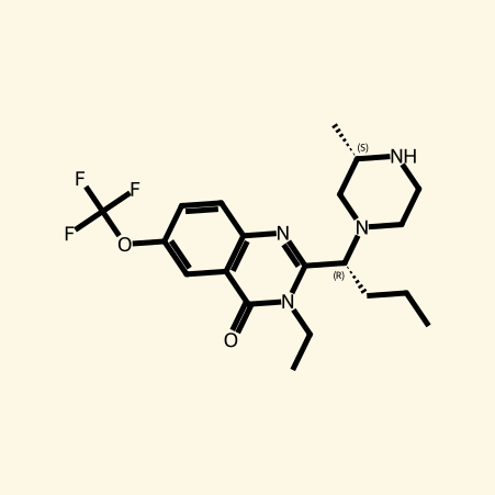 CCC[C@H](c1nc2ccc(OC(F)(F)F)cc2c(=O)n1CC)N1CCN[C@@H](C)C1